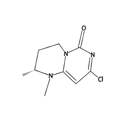 C[C@@H]1CCn2c(cc(Cl)nc2=O)N1C